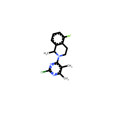 Cc1nc(Cl)nc(N2CCc3c(F)cccc3C2C)c1C